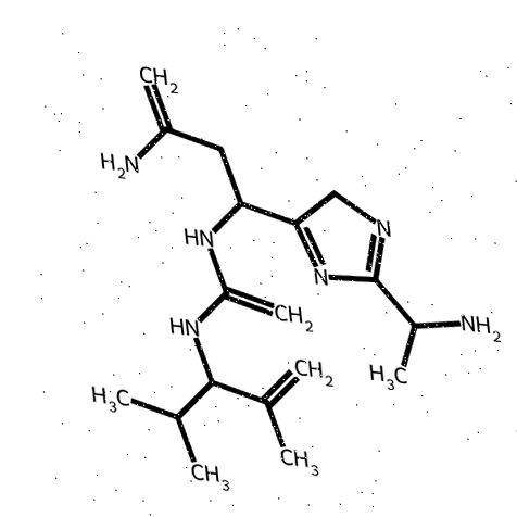 C=C(N)CC(NC(=C)NC(C(=C)C)C(C)C)C1=NC(C(C)N)=NC1